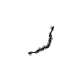 C=CC(=O)OCCCCOc1ccc(C(=O)Oc2ccc(CC(=O)Oc3ccc(OC(=O)c4ccc(OC(=O)c5ccc(OCCCCOC(=O)C=C)cc5)cc4)cc3)cc2)cc1